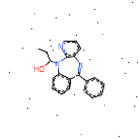 [CH2]CC(O)N1c2ccccc2C(c2ccccc2)=Nc2cccnc21